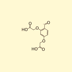 O=[C]c1ccc(OCC(=O)O)cc1OCC(=O)O